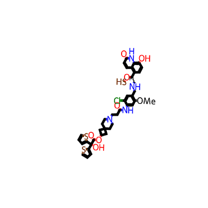 COc1cc(NC(=O)CCN2CCC3(CC2)CC(OC(=O)C(O)(c2cccs2)c2cccs2)C3)c(Cl)cc1CNC[C@H](OS)c1ccc(O)c2[nH]c(=O)ccc12